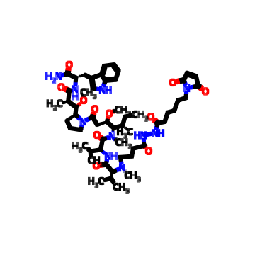 CC[C@H](C)[C@@H]([C@@H](CC(=O)N1CCC[C@H]1[C@H](OC)[C@@H](C)C(=O)N[C@@H](Cc1c[nH]c2ccccc12)C(N)=O)OC)N(C)C(=O)[C@@H](NC(=O)[C@H](C(C)C)N(C)CCCC(=O)NNC(=O)CCCCCN1C(=O)C=CC1=O)C(C)C